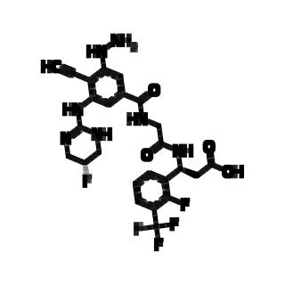 C#Cc1c(NN)cc(C(=O)NCC(=O)N[C@@H](CC(=O)O)c2cccc(C(F)(F)F)c2F)cc1NC1=NC[C@@H](F)CN1